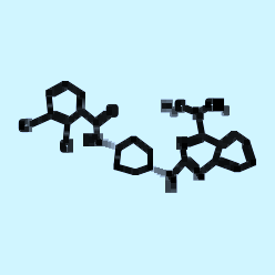 CN(C)c1nc(N[C@H]2CC[C@@H](NC(=O)c3cccc(Cl)c3Cl)CC2)nc2ccccc12